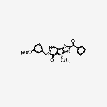 COc1cccc(Cn2ncc3c4sc(C(=O)c5ccccc5)nc4n(C)c3c2=O)c1